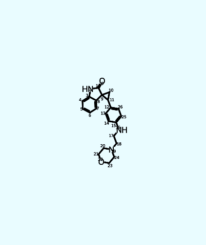 O=C1Nc2ccccc2C12CC2c1ccc(NCCN2CCOCC2)cc1